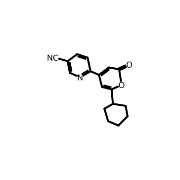 N#Cc1ccc(-c2cc(C3CCCCC3)oc(=O)c2)nc1